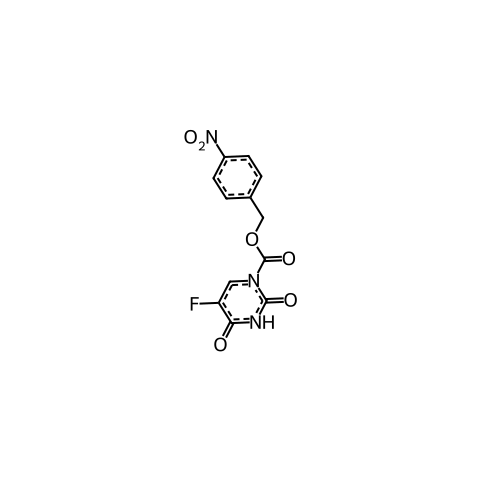 O=C(OCc1ccc([N+](=O)[O-])cc1)n1cc(F)c(=O)[nH]c1=O